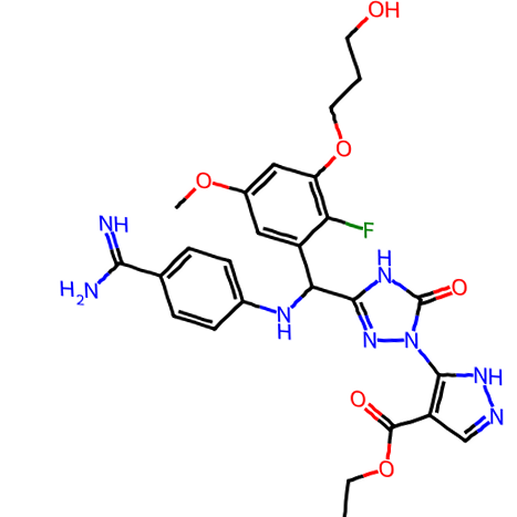 CCOC(=O)c1cn[nH]c1-n1nc(C(Nc2ccc(C(=N)N)cc2)c2cc(OC)cc(OCCCO)c2F)[nH]c1=O